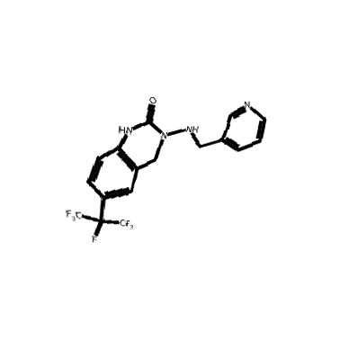 O=C1Nc2ccc(C(F)(C(F)(F)F)C(F)(F)F)cc2CN1NCc1cccnc1